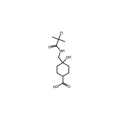 CC(C)(Cl)C(=O)NCC1(O)CCN(C(=O)O)CC1